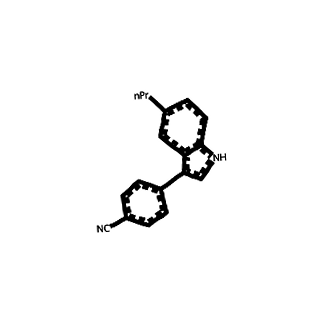 CCCc1ccc2[nH]cc(-c3ccc(C#N)cc3)c2c1